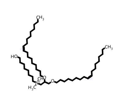 CCCCCCCC/C=C\CCCCCCCCOCC(C[N+](C)(C)CCCCCCCCO)OCCCCCCCC/C=C\CCCCCCCC